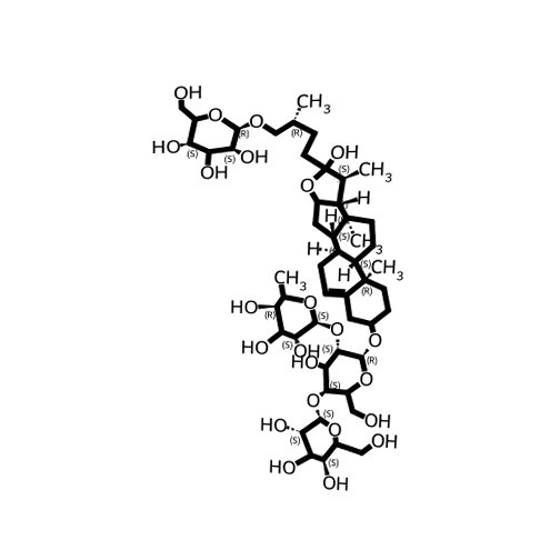 CC1O[C@@H](O[C@H]2C(O)[C@H](O[C@@H]3OC(CO)[C@@H](O)C(O)[C@@H]3O)C(CO)O[C@H]2OC2CC[C@@]3(C)C(=CC[C@H]4[C@@H]5CC6OC(O)(CC[C@@H](C)CO[C@@H]7OC(CO)[C@@H](O)C(O)[C@@H]7O)[C@@H](C)[C@@H]6[C@@]5(C)CC[C@@H]43)C2)[C@@H](O)C(O)[C@H]1O